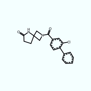 O=C1CCC2(CN(C(=O)c3ccc(-c4ccccc4)c(Cl)c3)C2)N1